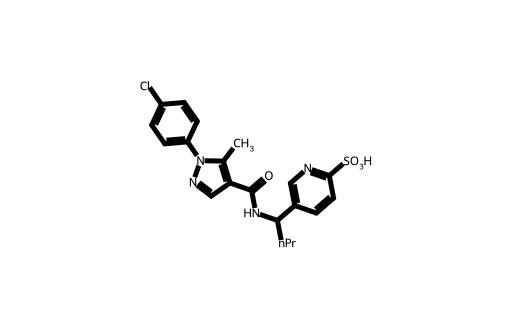 CCCC(NC(=O)c1cnn(-c2ccc(Cl)cc2)c1C)c1ccc(S(=O)(=O)O)nc1